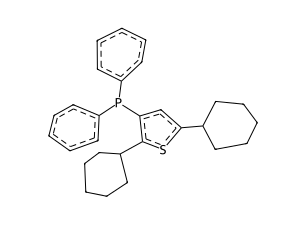 c1ccc(P(c2ccccc2)c2cc(C3CCCCC3)sc2C2CCCCC2)cc1